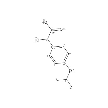 CC(C)Oc1ccc(C(O)C(=O)O)cc1